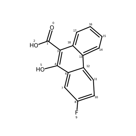 O=C(O)c1c(O)c2cc(F)ccc2c2ccccc12